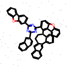 c1ccc2c(c1)-c1cc3ccccc3cc1CCC2c1c(-c2nc(-c3ccc4ccccc4c3)nc(-c3ccc4c(c3)oc3ccccc34)n2)ccc2oc3ccccc3c12